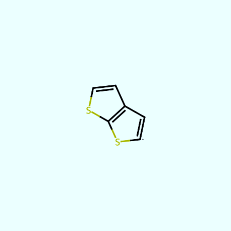 [c]1cc2ccsc2s1